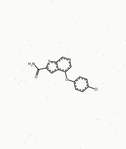 NC(=O)c1cc2c(Oc3ccc(Cl)cc3)cncc2s1